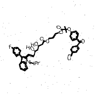 CC(C)n1c(/C=C/C(O)CC(O)CC(=O)OCCCOC(=O)C(C)(C)Oc2ccc(C(=O)c3ccc(Cl)cc3)cc2)c(-c2ccc(F)cc2)c2ccccc21